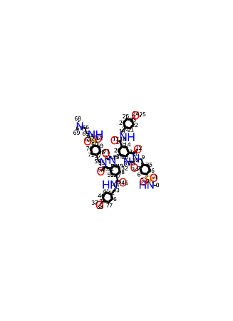 CNS(=O)(=O)c1ccc(Cn2c(=O)c3cc(C(=O)NCc4ccc(OC)cc4)ccc3n(C)c2=O)cc1.COc1ccc(CNC(=O)c2ccc3c(c2)c(=O)n(Cc2ccc(S(=O)(=O)NCCN(C)C)cc2)c(=O)n3C)cc1